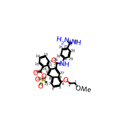 COCCOc1cccc2cc(-c3ccccc3C(=O)OS(C)(=O)=O)c(C(=O)Nc3ccc(C(=N)N)cc3)cc12